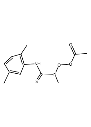 CC(=O)OON(C)C(=S)Nc1cc(C)ccc1C